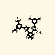 Cc1sc(-c2cc(C(F)(F)F)cc(C(F)(F)F)c2)nc1C1=C(c2nc(-c3cc(C(F)(F)F)cc(C(F)(F)F)c3)sc2C)C(F)(F)C(F)(F)C1(F)F